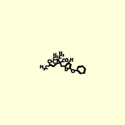 CC(C)=C[C@H]1C(C)(C)[C@@]1(Cc1ccc(Oc2ccccc2)o1)C(=O)O